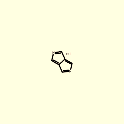 C1=NC=C2C=NC=C12.Cl